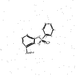 CNc1[c]ccc(OS(=O)(=O)c2ccccc2)c1